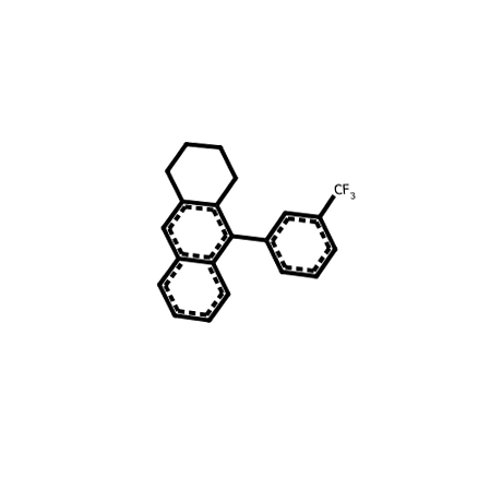 FC(F)(F)c1cccc(-c2c3c(cc4ccccc24)CCCC3)c1